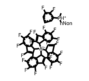 CCCCCCCCC[PH+](C)c1cccc(F)c1F.FC1=C(F)[CH]([Al-]([CH]2C(F)=C(F)c3c2cc(F)c(F)c3F)([CH]2C(F)=C(F)c3c2cc(F)c(F)c3F)[CH]2C(F)=C(F)c3c2cc(F)c(F)c3F)c2cc(F)c(F)c(F)c21